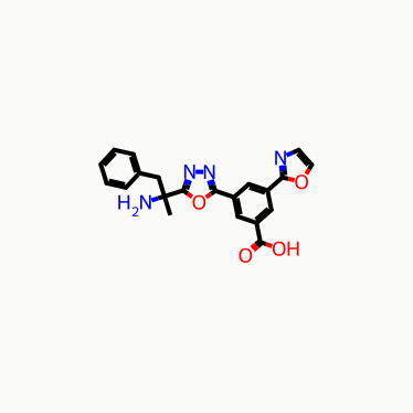 CC(N)(Cc1ccccc1)c1nnc(-c2cc(C(=O)O)cc(-c3ncco3)c2)o1